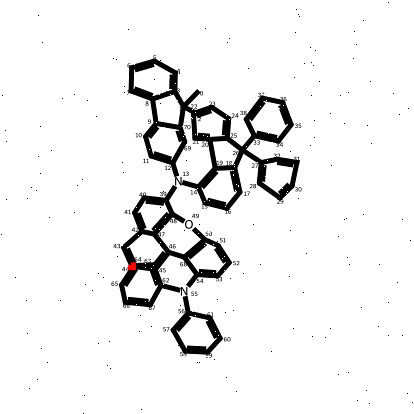 CC1(C)c2ccccc2-c2ccc(N(c3cccc4c3-c3ccccc3C4(c3ccccc3)c3ccccc3)c3ccc4cccc5c4c3Oc3cccc(N(c4ccccc4)c4ccccc4)c3-5)cc21